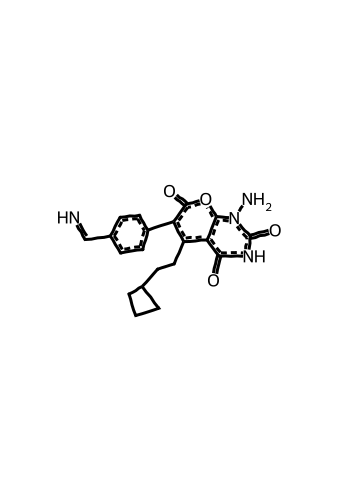 N=Cc1ccc(-c2c(CCC3CCC3)c3c(=O)[nH]c(=O)n(N)c3oc2=O)cc1